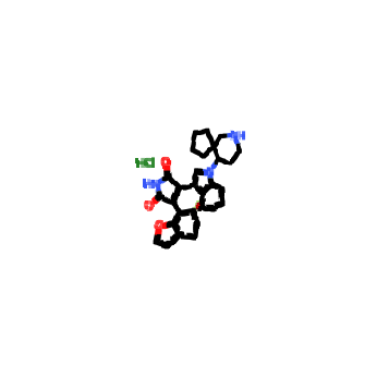 Cl.O=C1NC(=O)C(c2c(F)ccc3ccoc23)=C1c1cn(C2CCNCC23CCCC3)c2ccccc12